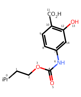 CC(C)CCOC(=O)Nc1ccc(C(=O)O)c(O)c1